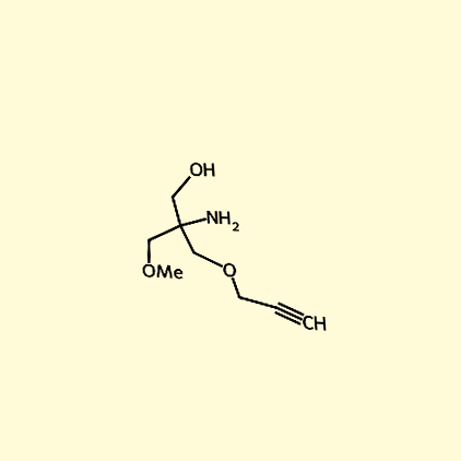 C#CCOCC(N)(CO)COC